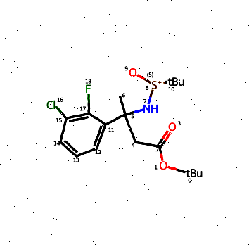 CC(C)(C)OC(=O)CC(C)(N[S@+]([O-])C(C)(C)C)c1cccc(Cl)c1F